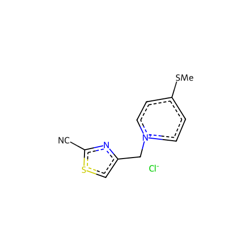 CSc1cc[n+](Cc2csc(C#N)n2)cc1.[Cl-]